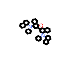 c1ccc(N(c2cccc3ccccc23)c2cc3c4cc(N(c5ccccc5)c5cccc6ccccc56)c5ccccc5c4oc3c3ccccc23)cc1